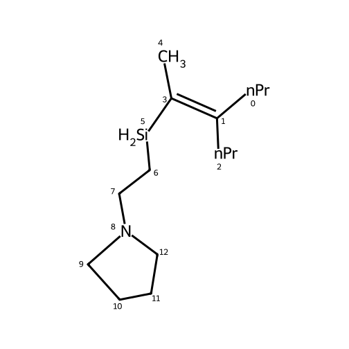 CCCC(CCC)=C(C)[SiH2]CCN1CCCC1